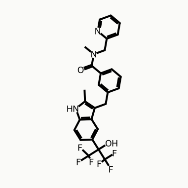 Cc1[nH]c2ccc(C(O)(C(F)(F)F)C(F)(F)F)cc2c1Cc1cccc(C(=O)N(C)Cc2ccccn2)c1